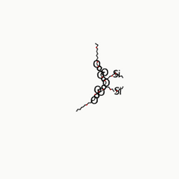 CCCCCCCCCCOc1ccc(C(=O)Oc2ccc(Oc3ccc(OC(=O)c4ccc(OCCCCCCCCCC)cc4)cc3CCCC[Si](C)(C)CCCC)c(CCCC[Si](C)(C)CCCC)c2)cc1